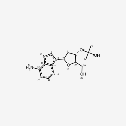 CC(C)(O)O[C@H]1CC(n2cnc3c(N)ncnc32)OC1CO